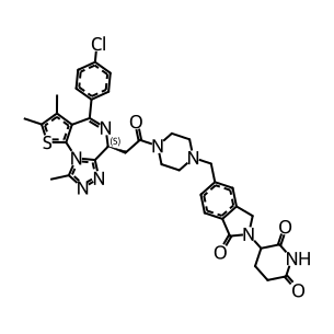 Cc1sc2c(c1C)C(c1ccc(Cl)cc1)=N[C@@H](CC(=O)N1CCN(Cc3ccc4c(c3)CN(C3CCC(=O)NC3=O)C4=O)CC1)c1nnc(C)n1-2